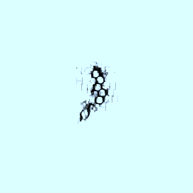 CN1CCN(S(=O)(=O)N[C@@]2(C)CC[C@@]3(C)CC[C@@]4(C)[C@]5(C)CC[C@H]6C(C)(C)C(=O)C(C#N)=C[C@]6(C)C5=CC(=O)[C@]4(O)[C@@H]3C2)CC1